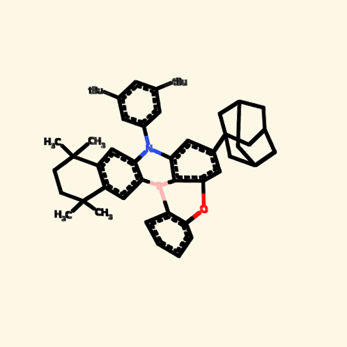 CC(C)(C)c1cc(N2c3cc4c(cc3B3c5ccccc5Oc5cc(C67CC8CC(CC(C8)C6)C7)cc2c53)C(C)(C)CCC4(C)C)cc(C(C)(C)C)c1